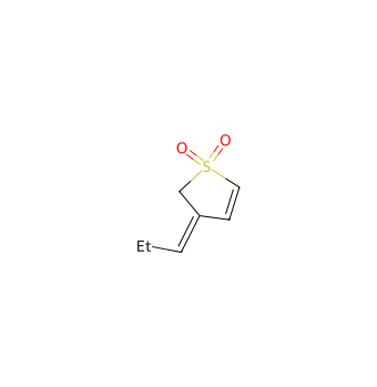 CCC=C1C=CS(=O)(=O)C1